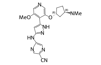 CN[C@@H]1CC[C@@H](Oc2cncc(OC)c2-c2cc(Nc3cnc(C#N)cn3)n[nH]2)C1